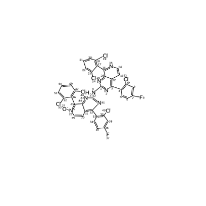 Nc1nc(-c2ccc(F)cc2Cl)c2ccnc(-c3c(Cl)cccc3Cl)c2n1.[O-][n+]1ccc2c(-c3ccc(F)cc3Cl)ncnc2c1-c1c(Cl)cccc1Cl